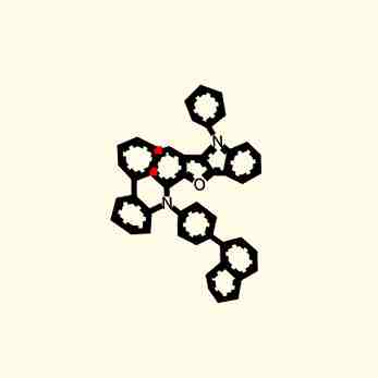 c1ccc(-c2ccccc2N(c2ccc(-c3cccc4ccccc34)cc2)c2cccc3c2oc2c4ccccc4n(-c4ccccc4)c32)cc1